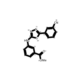 COC(=O)c1cccc(Nc2nnc(-c3cccc(C#N)c3)s2)c1